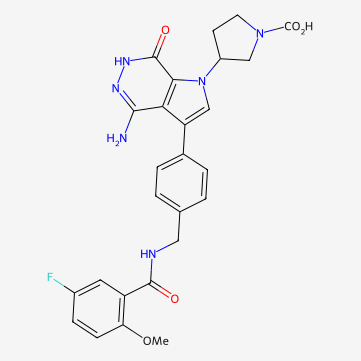 COc1ccc(F)cc1C(=O)NCc1ccc(-c2cn(C3CCN(C(=O)O)C3)c3c(=O)[nH]nc(N)c23)cc1